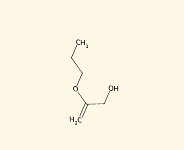 C=C(CO)OCCC